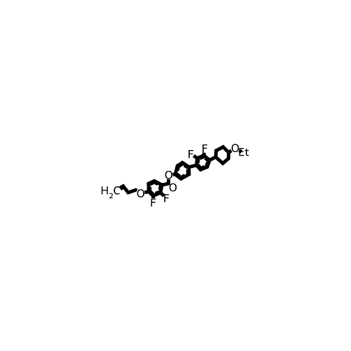 C=CCCOc1ccc(C(=O)Oc2ccc(-c3ccc(C4CCC(OCC)CC4)c(F)c3F)cc2)c(F)c1F